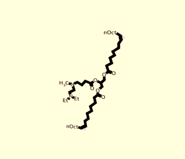 CCCCCCCC/C=C\CCCCCCCC(=O)OCC(COC(=O)CCCCCCC/C=C\CCCCCCCC)OC(=O)CCCN(C)CCN(CC)CC